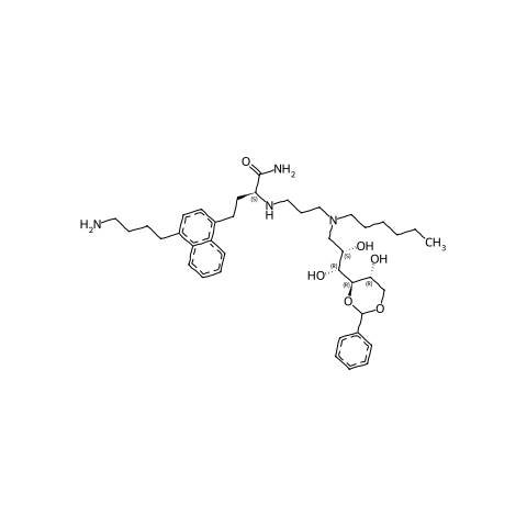 CCCCCCN(CCCN[C@@H](CCc1ccc(CCCCN)c2ccccc12)C(N)=O)C[C@H](O)[C@@H](O)[C@@H]1OC(c2ccccc2)OC[C@H]1O